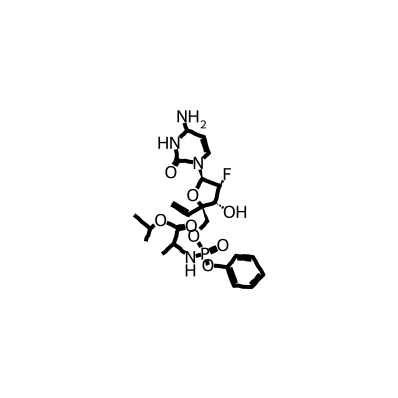 C=C[C@]1(COP(=O)(NC(C)C(=O)OC(C)C)Oc2ccccc2)O[C@@H](N2C=CC(N)NC2=O)[C@H](F)[C@@H]1O